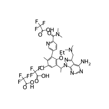 CCOc1c(C(C)n2nc(CN(C)C)c3c(N)ncnc32)cc(Cl)c(C)c1-c1ccc(C(=O)N(C)C)nc1.O=C(O)C(F)(F)F.O=C(O)C(F)(F)F.O=C(O)C(F)(F)F